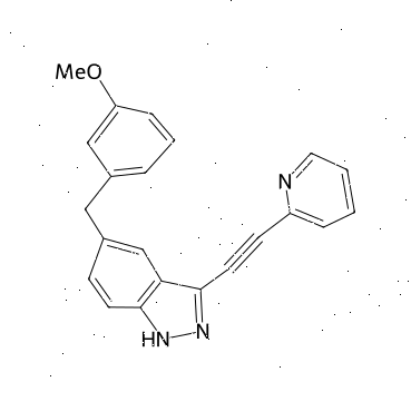 COc1cccc(Cc2ccc3[nH]nc(C#Cc4ccccn4)c3c2)c1